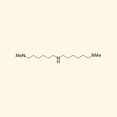 CNCCCCCCNCCCCCCNC